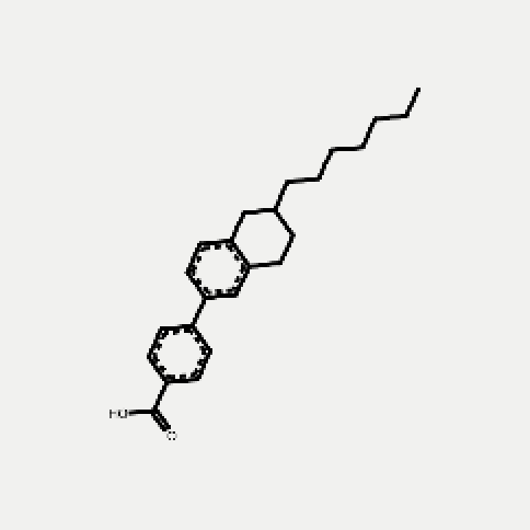 CCCCCCCC1CCc2cc(-c3ccc(C(=O)O)cc3)ccc2C1